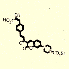 CCOC(=O)N1CCN(c2ccc3cc(C(=O)/C=C/c4ccc(/C=C(/C#N)C(=O)O)cc4)c(=O)oc3c2)CC1